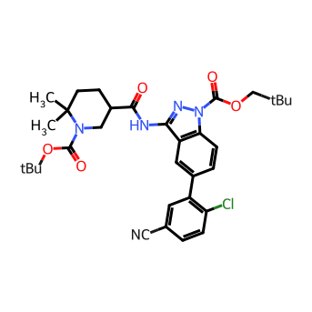 CC(C)(C)COC(=O)n1nc(NC(=O)C2CCC(C)(C)N(C(=O)OC(C)(C)C)C2)c2cc(-c3cc(C#N)ccc3Cl)ccc21